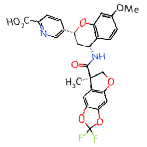 COc1ccc2c(c1)O[C@@H](c1ccc(C(=O)O)nc1)C[C@H]2NC(=O)[C@@]1(C)COc2cc3c(cc21)OC(F)(F)O3